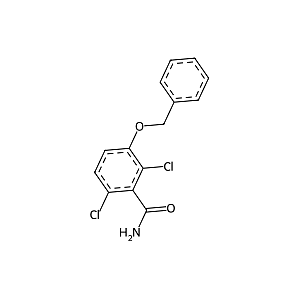 NC(=O)c1c(Cl)ccc(OCc2ccccc2)c1Cl